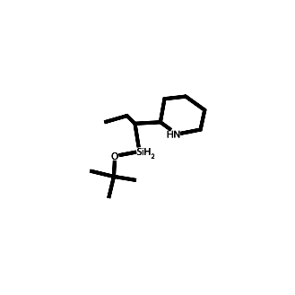 CCC([SiH2]OC(C)(C)C)C1CCCCN1